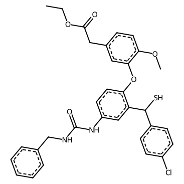 CCOC(=O)Cc1ccc(OC)c(Oc2ccc(NC(=O)NCc3ccccc3)cc2C(S)c2ccc(Cl)cc2)c1